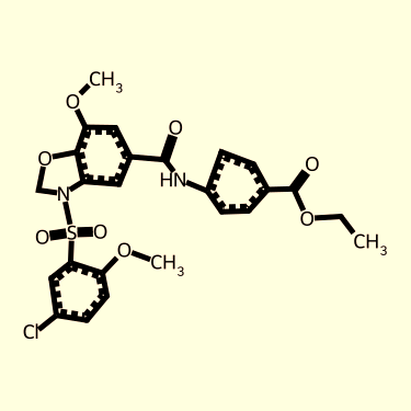 CCOC(=O)c1ccc(NC(=O)c2cc(OC)c3c(c2)N(S(=O)(=O)c2cc(Cl)ccc2OC)CO3)cc1